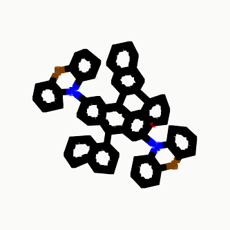 c1ccc(-c2cc3ccccc3cc2-c2c3cc(N4c5ccccc5Sc5ccccc54)ccc3c(-c3cccc4ccccc34)c3cc(N4c5ccccc5Sc5ccccc54)ccc23)cc1